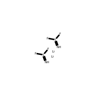 N=S(F)F.N=S(F)F.[Li].[Li]